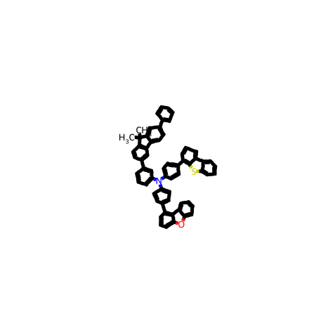 CC1(C)c2ccc(-c3cccc(N(c4ccc(-c5cccc6c5sc5ccccc56)cc4)c4ccc(-c5cccc6oc7ccccc7c56)cc4)c3)cc2-c2ccc(-c3ccccc3)cc21